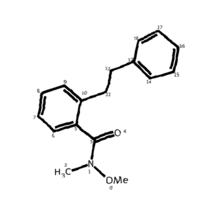 CON(C)C(=O)c1ccccc1CCc1ccccc1